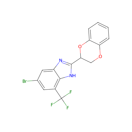 FC(F)(F)c1cc(Br)cc2nc(C3COc4ccccc4O3)[nH]c12